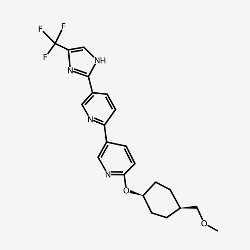 COC[C@H]1CC[C@@H](Oc2ccc(-c3ccc(-c4nc(C(F)(F)F)c[nH]4)cn3)cn2)CC1